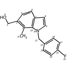 Cc1c(CO)ccc2ccn(Cc3ccc(F)cc3)c12